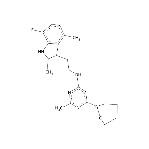 Cc1nc(NCCC2c3c(C)ccc(F)c3NC2C)cc(N2CCCCC2)n1